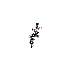 CCOc1ccc(CNC(=O)C2CC[C@](O)(c3cc(C)cc(Nc4cc(C5CC5)[nH]n4)n3)C2)cc1